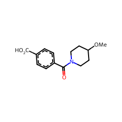 COC1CCN(C(=O)c2ccc(C(=O)O)cc2)CC1